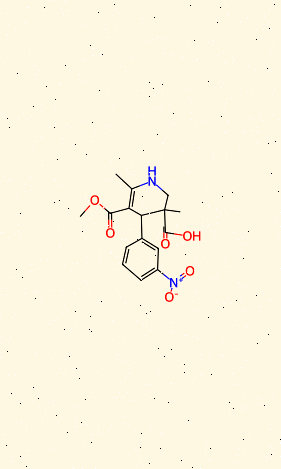 COC(=O)C1=C(C)NCC(C)(C(=O)O)C1c1cccc([N+](=O)[O-])c1